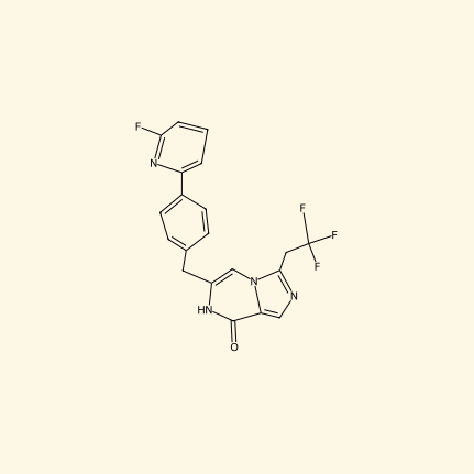 O=c1[nH]c(Cc2ccc(-c3cccc(F)n3)cc2)cn2c(CC(F)(F)F)ncc12